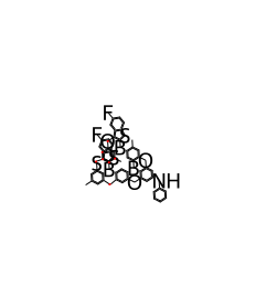 Cc1cc(C)c2c(c1)Oc1c(sc3ccc(F)cc13)B2c1cc2c(cc1C)Oc1cc(Nc3ccccc3)cc3c1B2c1cc(B2c4sc5ccc(F)cc5c4Sc4cc(C)cc(C)c42)c(C)cc1O3